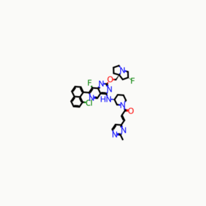 Cc1nccc(/C=C/C(=O)N2CCC[C@H](Nc3nc(OC[C@@]45CCCN4C[C@H](F)C5)nc4c(F)c(-c5cccc6cccc(Cl)c56)ncc34)C2)n1